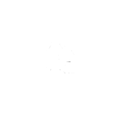 [CH2]C(O)(CO)c1cccc2ccccc12